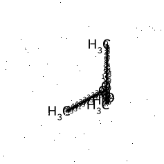 CCCCCCCCCCCCCCCCCCOC[C@H](COC(=O)NCC)OCCCCCCCCCCCCCCCCCC